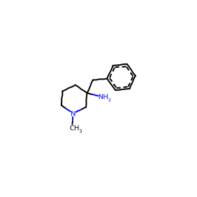 CN1CCCC(N)(Cc2ccccc2)C1